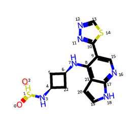 O=[SH](=O)N[C@H]1C[C@@H](Nc2c(-c3nncs3)cnc3[nH]ccc23)C1